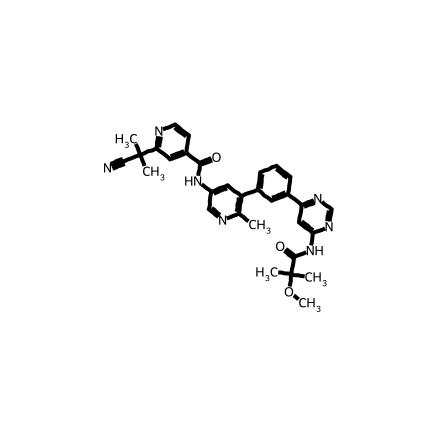 COC(C)(C)C(=O)Nc1cc(-c2cccc(-c3cc(NC(=O)c4ccnc(C(C)(C)C#N)c4)cnc3C)c2)ncn1